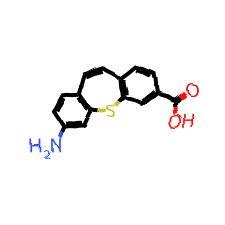 Nc1ccc2c(c1)Sc1cc(C(=O)O)ccc1C=C2